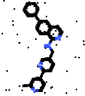 Cc1cc(-c2ccc(CNc3nccc4cc(-c5ccccc5)ccc34)cn2)ccn1